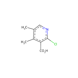 Cc1cnc(Cl)c(C(=O)O)c1C